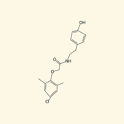 Cc1cc(Cl)cc(C)c1OCC(=O)NCCc1ccc(O)cc1